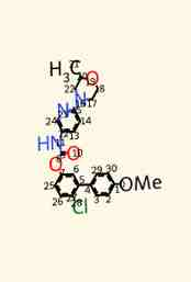 COc1ccc(-c2cc(OC(=O)Nc3ccc(N4CCOC(C)C4)nc3)ccc2Cl)cc1